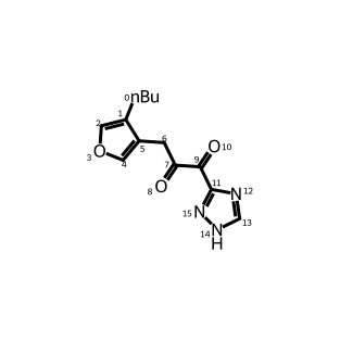 CCCCc1cocc1CC(=O)C(=O)c1nc[nH]n1